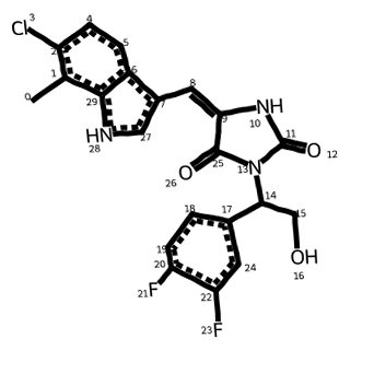 Cc1c(Cl)ccc2c(C=C3NC(=O)N(C(CO)c4ccc(F)c(F)c4)C3=O)c[nH]c12